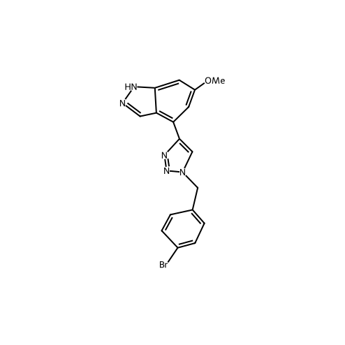 COc1cc(-c2cn(Cc3ccc(Br)cc3)nn2)c2cn[nH]c2c1